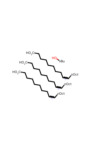 CCCCCCCC/C=C\CCCCCCCC(=O)O.CCCCCCCC/C=C\CCCCCCCC(=O)O.CCCCCCCC/C=C\CCCCCCCC(=O)O.CCCCO